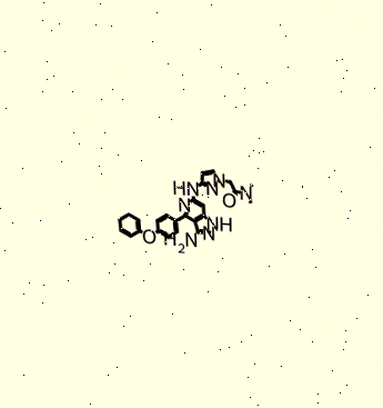 CN(C)C(=O)Cn1ccc(Nc2cc3[nH]nc(N)c3c(-c3ccc(OC4=CCCC=C4)cc3)n2)n1